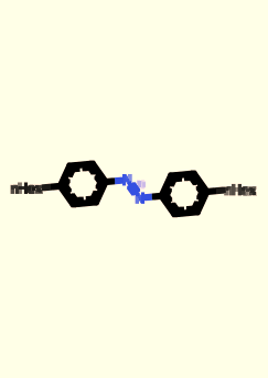 CCCCCCc1ccc(/N=N/c2ccc(CCCCCC)cc2)cc1